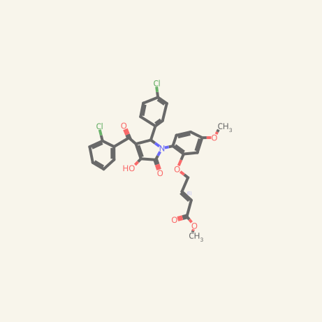 COC(=O)/C=C/COc1cc(OC)ccc1N1C(=O)C(O)=C(C(=O)c2ccccc2Cl)C1c1ccc(Cl)cc1